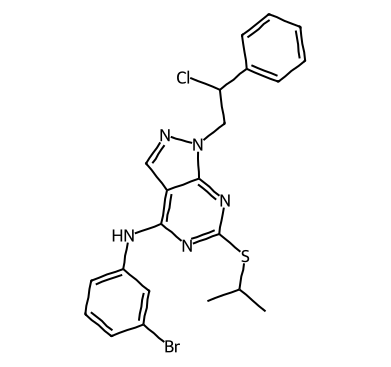 CC(C)Sc1nc(Nc2cccc(Br)c2)c2cnn(CC(Cl)c3ccccc3)c2n1